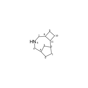 C1CC2CC1CNCC1CCC12